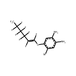 Nc1cc(Br)c(OC(F)=C(F)C(F)(F)C(F)(F)C(F)(F)C(F)(F)F)cc1N